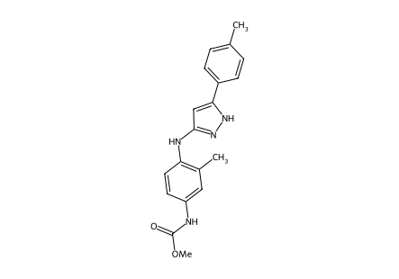 COC(=O)Nc1ccc(Nc2cc(-c3ccc(C)cc3)[nH]n2)c(C)c1